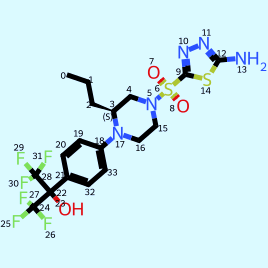 CCC[C@H]1CN(S(=O)(=O)c2nnc(N)s2)CCN1c1ccc(C(O)(C(F)(F)F)C(F)(F)F)cc1